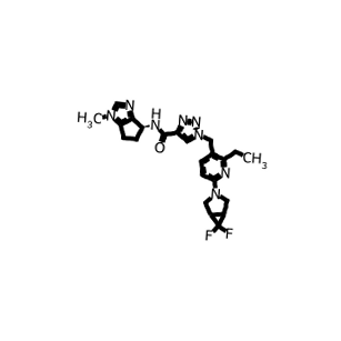 CCc1nc(N2CC3C(C2)C3(F)F)ccc1Cn1cc(C(=O)N[C@@H]2CCc3c2ncn3C)nn1